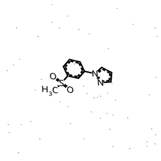 CS(=O)(=O)c1cccc(-n2cccn2)c1